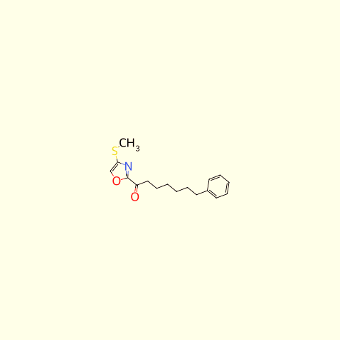 CSc1coc(C(=O)CCCCCCc2ccccc2)n1